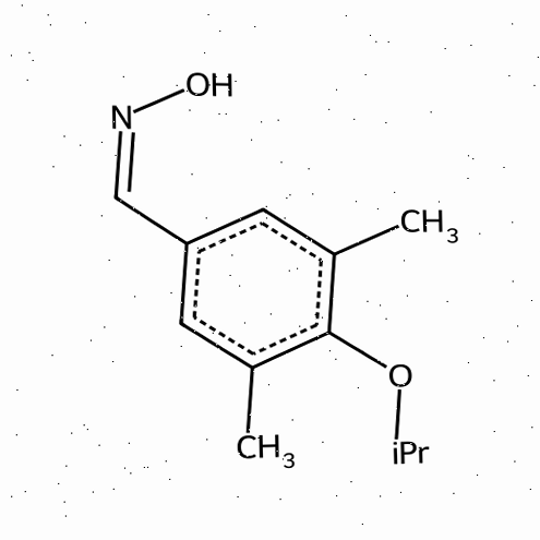 Cc1cc(/C=N\O)cc(C)c1OC(C)C